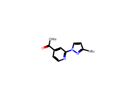 CCCCc1ccn(-c2cc(C(=O)OC)ccn2)n1